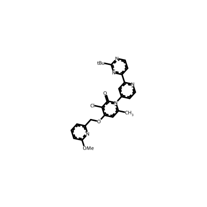 COc1cccc(COc2cc(C)n(-c3ccnc(-c4ccnc(C(C)(C)C)n4)c3)c(=O)c2Cl)n1